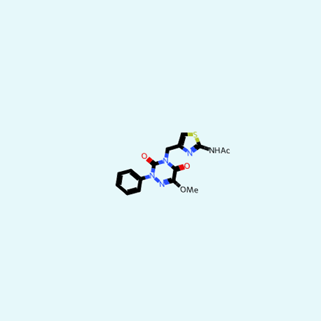 COc1nn(-c2ccccc2)c(=O)n(Cc2csc(NC(C)=O)n2)c1=O